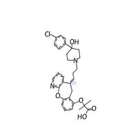 CC(C)(Oc1cccc2c1C/C(=C/CCN1CCC(O)(c3ccc(Cl)cc3)CC1)c1cccnc1O2)C(=O)O